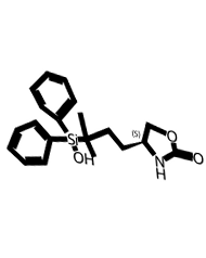 CC(C)(CC[C@H]1COC(=O)N1)[Si](O)(c1ccccc1)c1ccccc1